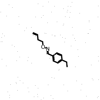 C=CCCON=[C]c1ccc(CC)cc1